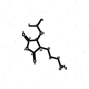 CC(C)OC1C(=O)OC(=O)C1CCC[SiH3]